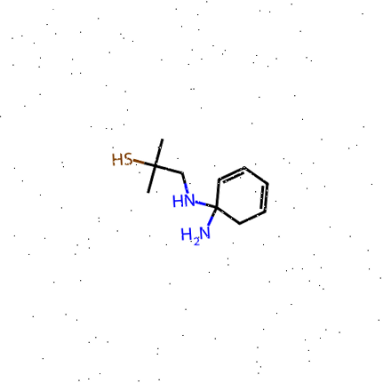 CC(C)(S)CNC1(N)C=CC=CC1